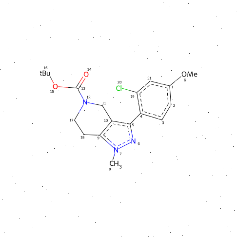 COc1ccc(-c2nn(C)c3c2CN(C(=O)OC(C)(C)C)CC3)c(Cl)c1